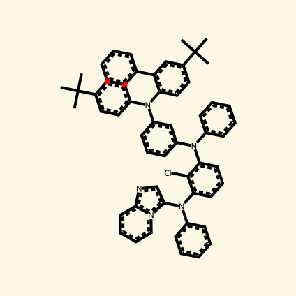 CC(C)(C)c1ccc(N(c2cccc(N(c3ccccc3)c3cccc(N(c4ccccc4)c4cnc5ccccn45)c3Cl)c2)c2ccc(C(C)(C)C)cc2-c2ccccc2)cc1